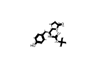 CC(C)(C)OC(=O)N[C@@H](Cc1ccc(O)cc1)[C@@H]1CCC(=O)O1